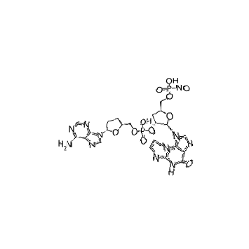 Nc1ncnc2c1ncn2[C@H]1CC[C@@H](COP(=O)(O)O[C@@H]2C[C@@H](COP(=O)(O)N=O)O[C@H]2n2cnc3c(=O)[nH]c4nccn4c32)O1